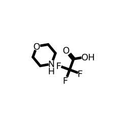 C1COCCN1.O=C(O)C(F)(F)F